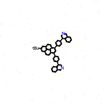 CC(C)(C)c1cc2ccc3c(-c4ccc(-c5cncc6ccccc56)cc4)cc(-c4ccc(-c5cncc6ccccc56)cc4)c4ccc(c1)c2c34